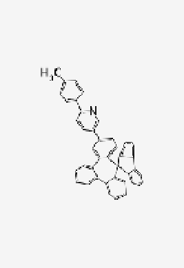 Cc1ccc(-c2ccc(-c3ccc4c(c3)-c3ccccc3-c3ccccc3C43c4ccccc4-c4ccccc43)cn2)cc1